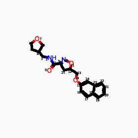 O=C(NCC1CCOC1)C1=NOC(COc2ccc3ccccc3c2)C1